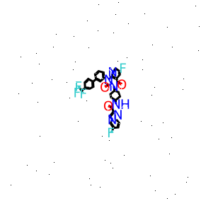 O=C(NC1CCC(n2c(=O)c3cc(F)cnc3n(-c3cccc(-c4ccc(C(F)(F)F)cc4)c3)c2=O)CC1)c1cn2cc(F)ccc2n1